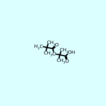 CC(C)(C)C(=O)OC(C)(C)C(=O)O